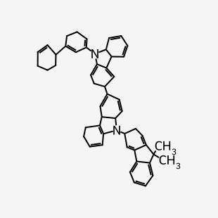 CC1(C)C2=CCC(N3C4=C(CCC=C4)C4C=C(C5C=C6C(=CC5)N(C5=CCCC(C7C=CCCC7)=C5)C5C=CC=CC65)C=CC43)C=C2c2ccccc21